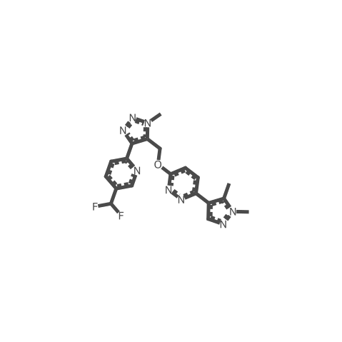 Cc1c(-c2ccc(OCc3c(-c4ccc(C(F)F)cn4)nnn3C)nn2)cnn1C